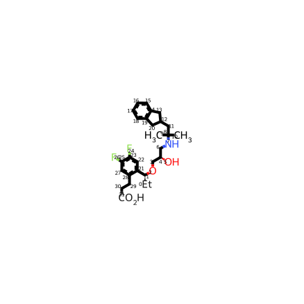 CC[C@@H](OC[C@H](O)CNC(C)(C)CC1Cc2ccccc2C1)c1cc(F)c(F)cc1CCC(=O)O